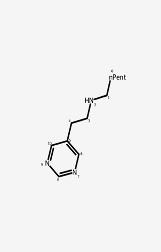 CCCCCCNCCc1cncnc1